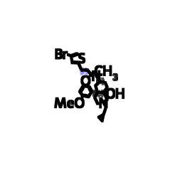 COc1cccc([C@@]23CCN(CC4CC4)C[C@@]2(O)CC[C@H](N(C)C(=O)/C=C/c2cc(Br)cs2)C3)c1